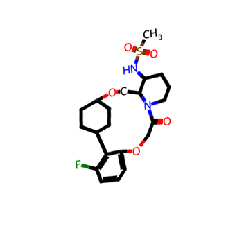 CS(=O)(=O)NC1CCCN2C(=O)COc3cccc(F)c3C3CCC(CC3)OCC12